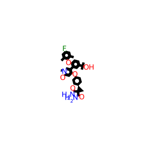 Cc1cc(F)cc(C)c1Oc1ccc(C(C)(C)O)cc1-c1cn(C)c(=O)cc1O[C@H]1CC[C@H](C2CC2(C(N)=O)C(N)=O)CC1